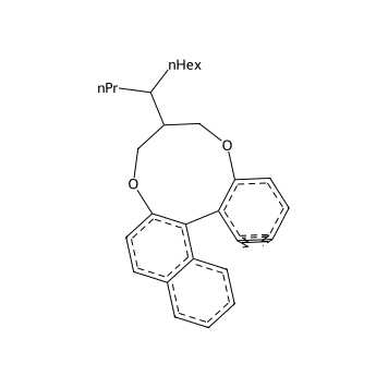 CCCCCCC(CCC)C1COc2ccc3ccccc3c2-c2c(ccc3ccccc23)OC1